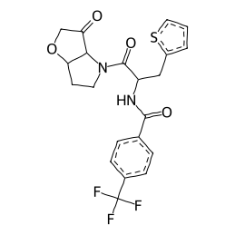 O=C(NC(Cc1cccs1)C(=O)N1CCC2OCC(=O)C21)c1ccc(C(F)(F)F)cc1